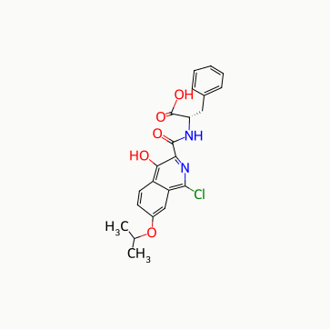 CC(C)Oc1ccc2c(O)c(C(=O)N[C@@H](Cc3ccccc3)C(=O)O)nc(Cl)c2c1